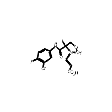 O=C(O)C=CN1NOCC1(I)C(=O)Nc1ccc(F)c(Cl)c1